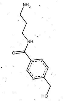 NCCCNC(=O)c1ccc(CO)nc1